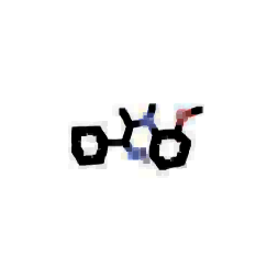 COc1ccccc1N(C)C(C)C(N)c1ccccc1